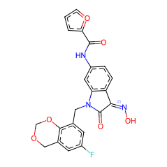 O=C(Nc1ccc2c(c1)N(Cc1cc(F)cc3c1OCOC3)C(=O)/C2=N\O)c1ccco1